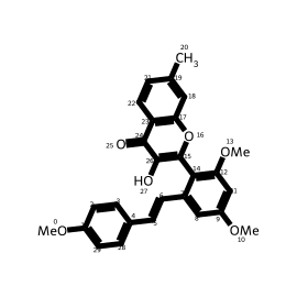 COc1ccc(C=Cc2cc(OC)cc(OC)c2-c2oc3cc(C)ccc3c(=O)c2O)cc1